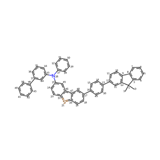 CC1(C)c2ccccc2-c2ccc(-c3ccc(-c4ccc5sc6ccc(N(c7ccccc7)c7cccc(-c8ccccc8)c7)cc6c5c4)cc3)cc21